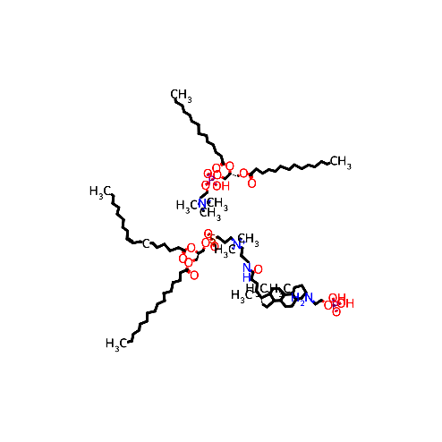 CCCCCCCC/C=C\CCCCCCCC(=O)O[C@H](COC(=O)CCCCCCCCCCCCCCC)COS(=O)(=O)CCC[N+](C)(C)CCCNC(=O)CC[C@@H](C)[C@H]1CCC2C3CCC4CCCC[C@]4(C)C3CC[C@@]21C.CCCCCCCCCCCCCC(=O)OC[C@H](COP(=O)(O)OCC[N+](C)(C)C)OC(=O)CCCCCCCCCCCCC.NCCOP(=O)(O)O